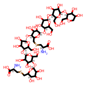 N[C@H](CSCC1O[C@H](O[C@@H]2C(CO)O[C@@H](O[C@@H]3C(CO)O[C@@H](O[C@@H]4C(CSC[C@@H](N)C(=O)O)O[C@@H](O[C@@H]5C(CO)O[C@H](O[C@@H]6C(CO)O[C@H](O[C@@H]7C(CO)OCC(O)C7O)C(O)C6O)C(O)C5O)C(O)C4O)C(O)C3O)C(O)C2O)C(O)C(O)[C@@H]1O)C(=O)O